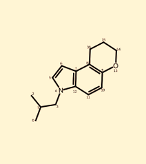 CC(C)Cn1ccc2c3c(ccc21)OCCC3